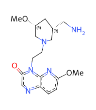 COc1ccc2ncc(=O)n(CCN3C[C@@H](CN)C[C@@H](OC)C3)c2n1